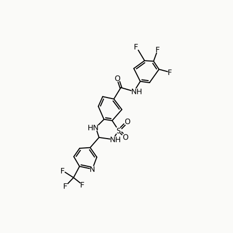 O=C(Nc1cc(F)c(F)c(F)c1)c1ccc2c(c1)S(=O)(=O)NC(c1ccc(C(F)(F)F)nc1)N2